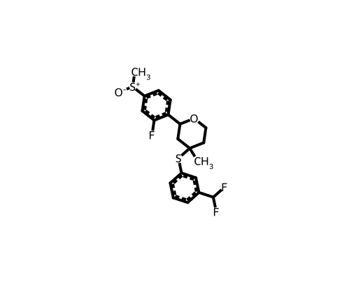 C[S+]([O-])c1ccc(C2CC(C)(Sc3cccc(C(F)F)c3)CCO2)c(F)c1